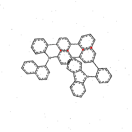 c1ccc(-c2ccc(-c3ccccc3N(c3ccc(-c4cccc(-c5ccccc5-n5c6ccccc6c6ccccc65)c4)cc3)c3cccc4ccccc34)cc2)cc1